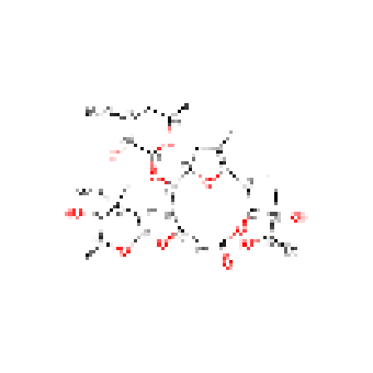 CC[C@@H](O)[C@@](C)(O)[C@H]1OC(=O)[C@H](C)[C@@H](O[C@H]2C[C@@](C)(OC)[C@@H](O)[C@H](C)O2)[C@H](C)[C@@H](O[C@@H]2O[C@H](C)C[C@H](NC)[C@H]2O)[C@@]2(C)CC(C)=C(O2)[C@@H]1C